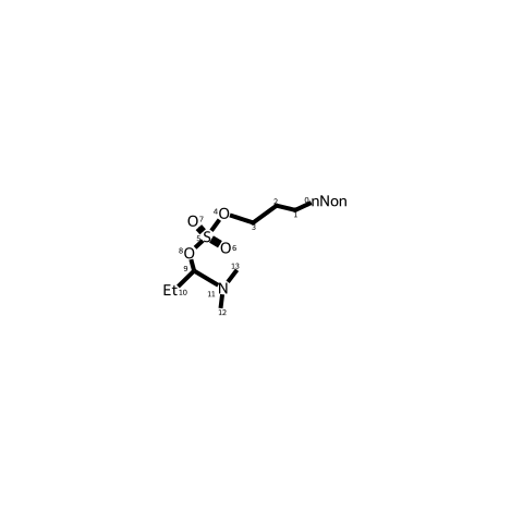 CCCCCCCCCCCCOS(=O)(=O)OC(CC)N(C)C